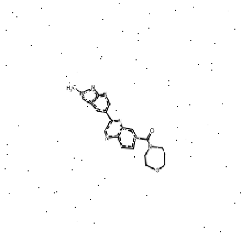 Cn1cc2cc(-c3cnc4ccc(C(=O)N5CCCOCC5)cc4n3)cnc2n1